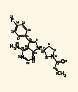 C=CC(=O)N1CC[C@@H](n2cc(-c3ccc(F)cc3)c3c(N)ncnc32)C1